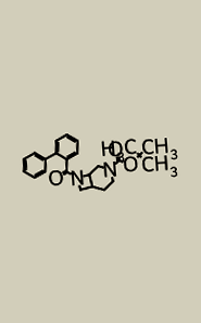 CC(C)(C)OC(=O)N1CCC2CN(C(=O)c3ccccc3-c3ccccc3)C2C1